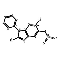 CCc1nc2cc(C[SH](=O)=O)c(Cl)cc2n1-c1c[c]ccc1